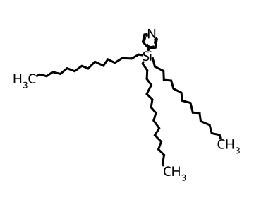 CCCCCCCCCCCCCCCC[Si](CCCCCCCCCCCCCCCC)(CCCCCCCCCCCCCCCC)c1ccncc1